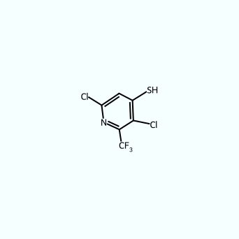 FC(F)(F)c1nc(Cl)cc(S)c1Cl